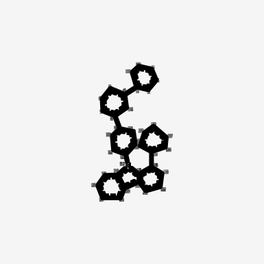 c1ccc(-c2cccc(-c3ccc(-n4c5ccccc5c5cccc(-c6ccccc6)c54)cc3)c2)cc1